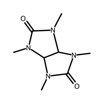 CN1C(=O)N(C)C2C1N(C)C(=O)N2C